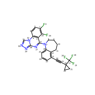 Fc1ccc2c(c(N3CCCCc4c(C#CC5(C(F)(F)F)CC5)cccc43)nc3nncn32)c1F